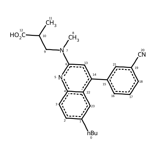 CCCCc1ccc2nc(N(C)CC(C)C(=O)O)cc(-c3cccc(C#N)c3)c2c1